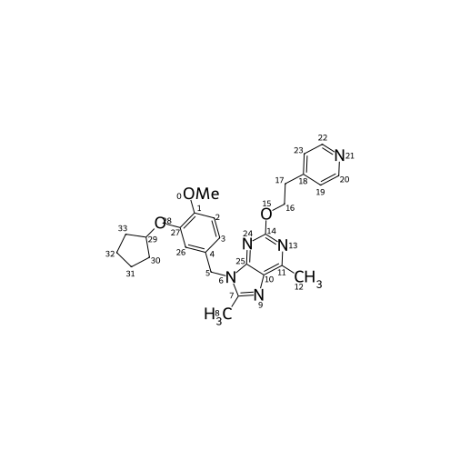 COc1ccc(Cn2c(C)nc3c(C)nc(OCCc4ccncc4)nc32)cc1OC1CCCC1